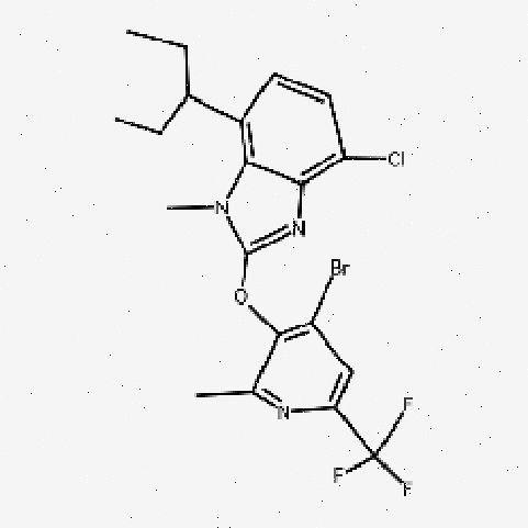 CCC(CC)c1ccc(Cl)c2nc(Oc3c(Br)cc(C(F)(F)F)nc3C)n(C)c12